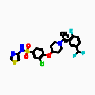 C[C@H](c1cc(C(F)F)ccc1F)N1CCC(Oc2ccc(S(=O)(=O)Nc3cscn3)cc2Cl)CC1